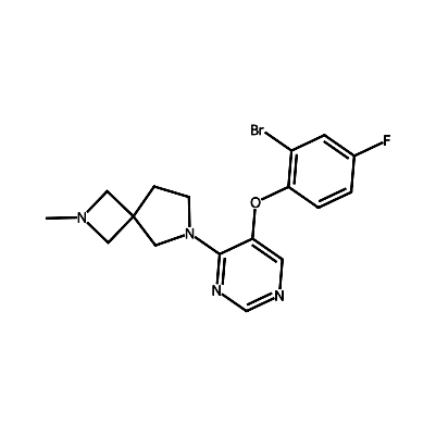 CN1CC2(CCN(c3ncncc3Oc3ccc(F)cc3Br)C2)C1